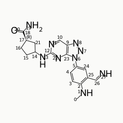 CNc1ccc(-n2nnc3cnc(NC4CC[C@@H](C(N)=O)C4)nc32)cc1C=N